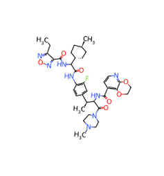 CCc1nonc1C(=O)N[C@H](C(=O)Nc1ccc([C@H](C)[C@@H](NC(=O)c2ccnc3c2OCCO3)C(=O)N2CCN(C)CC2)cc1F)[C@H]1CC[C@H](C)CC1